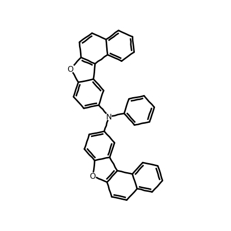 c1ccc(N(c2ccc3oc4ccc5ccccc5c4c3c2)c2ccc3oc4ccc5ccccc5c4c3c2)cc1